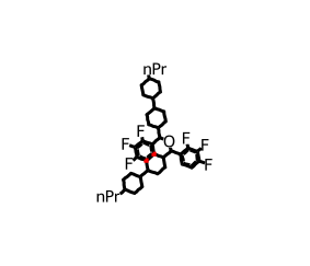 CCCC1CCC(C2CCC(C(OC(c3ccc(F)c(F)c3F)C3CCC(C4CCC(CCC)CC4)CC3)c3ccc(F)c(F)c3F)CC2)CC1